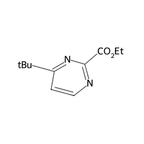 CCOC(=O)c1nccc(C(C)(C)C)n1